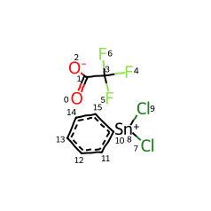 O=C([O-])C(F)(F)F.[Cl][Sn+]([Cl])[c]1ccccc1